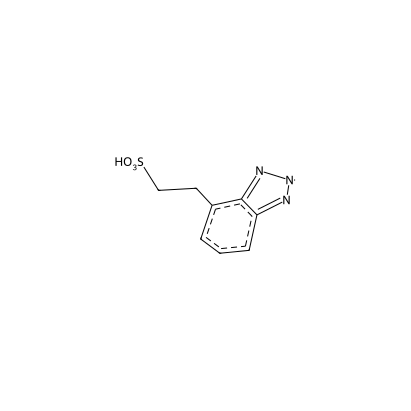 O=S(=O)(O)CCc1cccc2c1=N[N]N=2